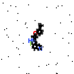 Fc1ccc2cnccc2c1CNC1CC(Oc2cccc(C3CC3)c2)C1